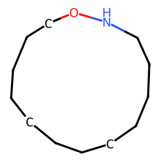 C1CCCCCCONCCCCC1